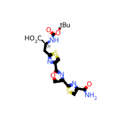 CC(C)(C)OC(=O)N[C@@H](Cc1nc(-c2nc(-c3nc(C(N)=O)cs3)co2)cs1)C(=O)O